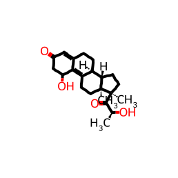 C[C@H](O)C(=O)[C@]1(C)CC[C@H]2[C@@H]3CCC4=CC(=O)CC(O)C4=C3CC[C@@]21C